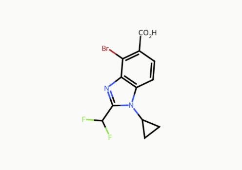 O=C(O)c1ccc2c(nc(C(F)F)n2C2CC2)c1Br